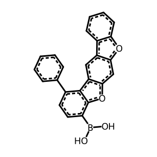 OB(O)c1ccc(-c2ccccc2)c2c1oc1cc3oc4ccccc4c3cc12